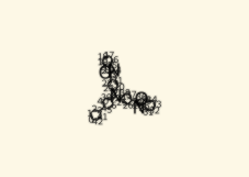 c1ccc(-c2ccc(N(c3ccc(-c4nc5ccccc5o4)cc3)c3ccc(-c4nc5ccccc5o4)cc3)cc2)cc1